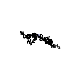 COc1cc(-c2ccc(OC#N)cc2)ccc1/C=C/C(=O)OCCC(=O)Oc1cc(N)ccc1N